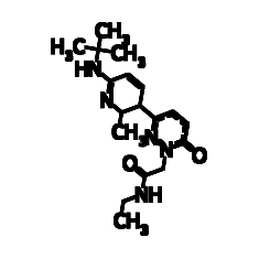 CCNC(=O)Cn1nc(C2C=CC(NC(C)(C)C)=NC2C)ccc1=O